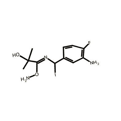 CC(C)(O)/C(=N/C(I)c1ccc(F)c(N)c1)ON